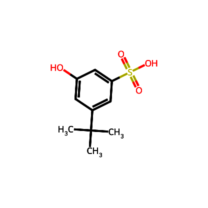 CC(C)(C)c1cc(O)cc(S(=O)(=O)O)c1